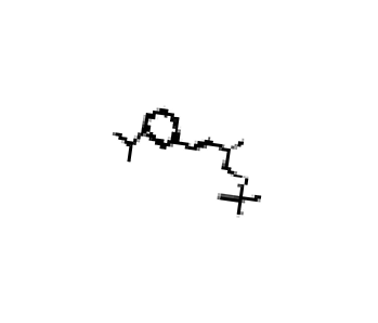 CC(C)c1cccc(/C=C/[C@@H](C)COC(C)(C)C)c1